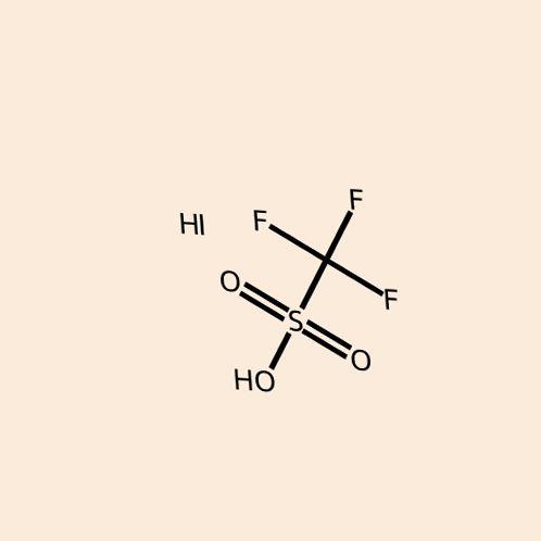 I.O=S(=O)(O)C(F)(F)F